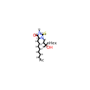 CCCCCCC(C)(O)CCN1C(=S)N(C)C(=O)C1CCCCCCCC(C)=O